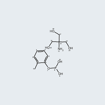 Cc1ccccc1OP(O)O.NC(CO)(CO)CO